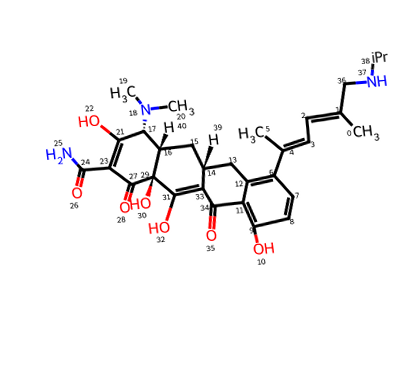 C/C(=C\C=C(/C)c1ccc(O)c2c1C[C@H]1C[C@H]3[C@@H](N(C)C)C(O)=C(C(N)=O)C(=O)[C@@]3(O)C(O)=C1C2=O)CNC(C)C